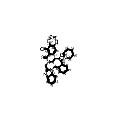 CCCCN(Cc1nc2ccccc2n1Cc1ccccc1CN1CCCCC1)C(=O)c1ccc(OC)c(OC)c1Cl